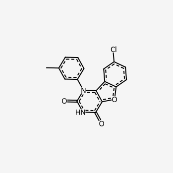 Cc1cccc(-n2c(=O)[nH]c(=O)c3oc4ccc(Cl)cc4c32)c1